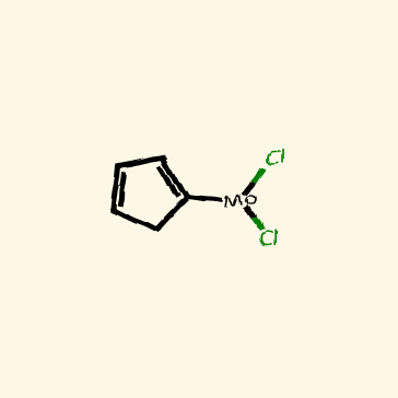 [Cl][Mo]([Cl])[C]1=CC=CC1